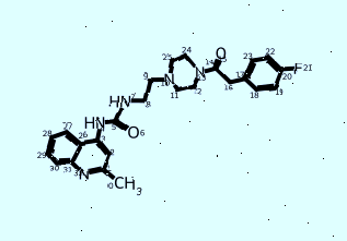 Cc1cc(NC(=O)NCCN2CCN(C(=O)Cc3ccc(F)cc3)CC2)c2ccccc2n1